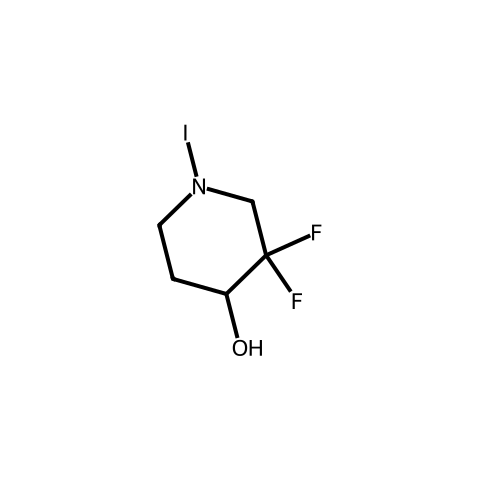 OC1CCN(I)CC1(F)F